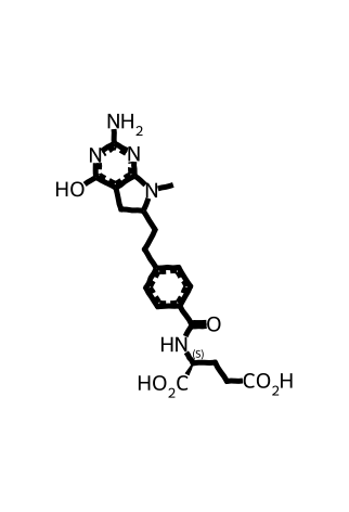 CN1c2nc(N)nc(O)c2CC1CCc1ccc(C(=O)N[C@@H](CCC(=O)O)C(=O)O)cc1